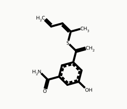 C=C/C=C(/C)SC(=C)c1cc(O)cc(C(N)=O)c1